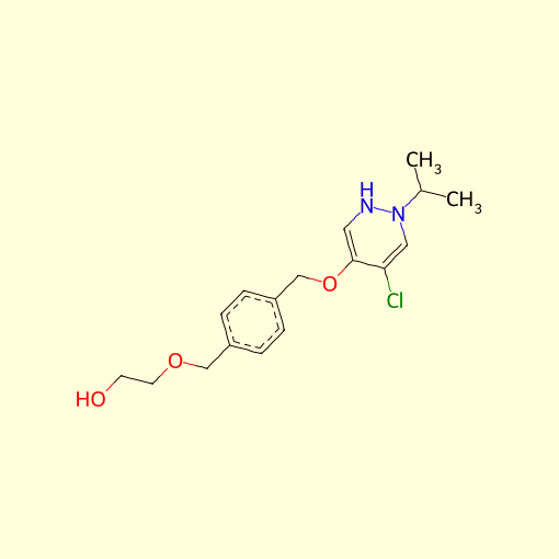 CC(C)N1C=C(Cl)C(OCc2ccc(COCCO)cc2)=CN1